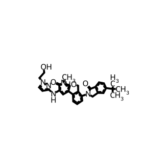 Cn1cc(-c2cccc(N3Cc4cc(C(C)(C)C)ccc4C3=O)c2CO)cc(Nc2ccn(CCO)n2)c1=O